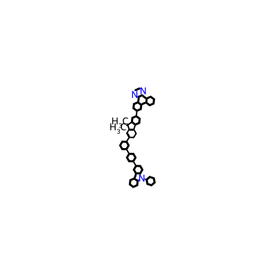 CC1(C)C2=C(CCC(c3cccc(-c4ccc(-c5ccc6c(c5)c5ccccc5n6-c5ccccc5)cc4)c3)=C2)c2ccc(-c3ccc4c(c3)c3ccccc3c3nccnc43)cc21